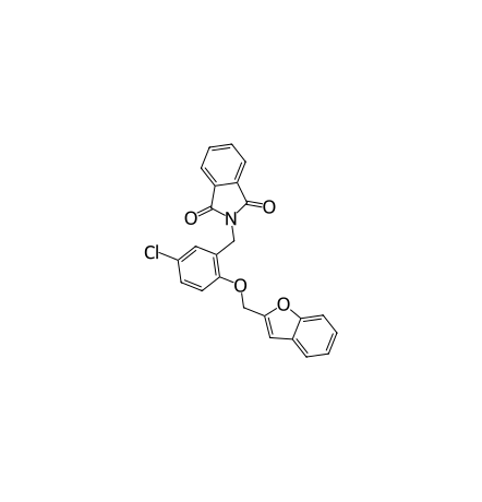 O=C1c2ccccc2C(=O)N1Cc1cc(Cl)ccc1OCc1cc2ccccc2o1